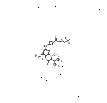 Cc1nc(NC2CN(C(=O)COCC(F)(F)F)C2)nc2c1NC(=O)C(C(C)C)N2C